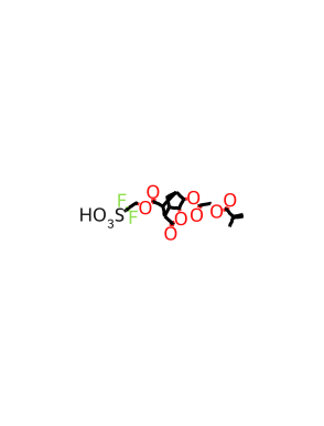 C=C(C)C(=O)OCC(=O)OC1C2CC3C1OC(=O)C3C2C(=O)OCC(F)(F)S(=O)(=O)O